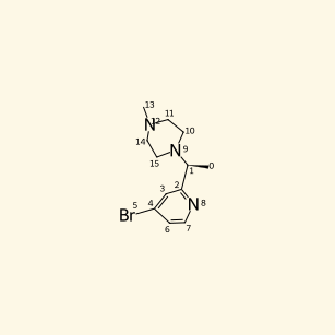 C[C@@H](c1cc(Br)ccn1)N1CCN(C)CC1